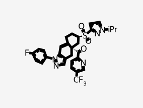 CC(C)n1ccc(S(=O)(=O)[C@H]2CCC3=Cc4c(cnn4-c4ccc(F)cc4)C[C@]3(C(=O)c3ccc(C(F)(F)F)cn3)C2)n1